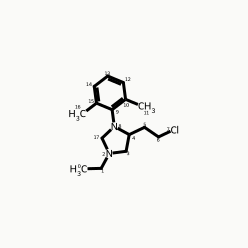 CCN1CC(CCCl)N(c2c(C)cccc2C)C1